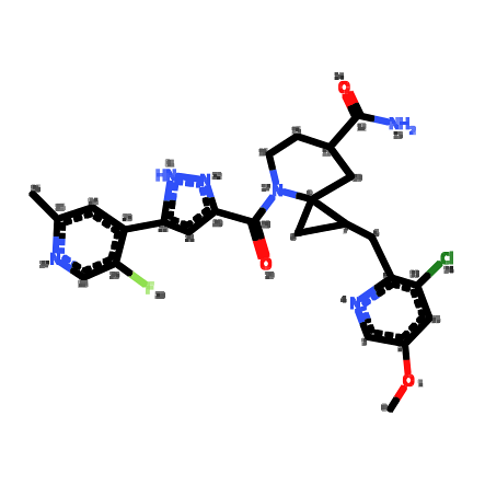 COc1cnc(CC2CC23CC(C(N)=O)CCN3C(=O)c2cc(-c3cc(C)ncc3F)[nH]n2)c(Cl)c1